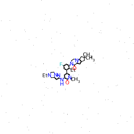 CCc1c(-c2cc(Nc3cc4n(n3)CCN(CC)C4)c(=O)n(C)c2)cc(F)cc1N1CCn2c(cc3c2CC(C)(C)C3)C1=O